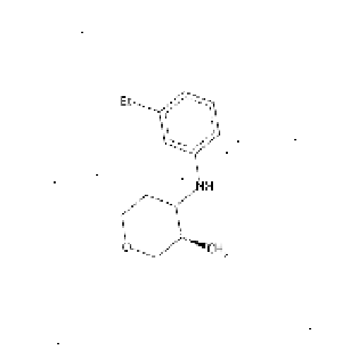 CCc1cccc(NC2CCOC[C@@H]2C)c1